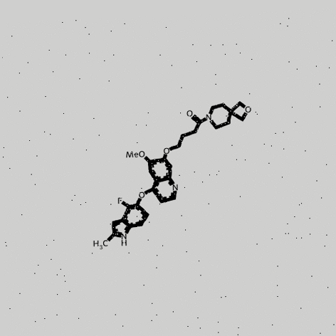 COc1cc2c(Oc3ccc4[nH]c(C)cc4c3F)ccnc2cc1OCCCC(=O)N1CCC2(CC1)COC2